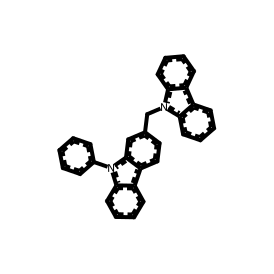 c1ccc(-n2c3ccccc3c3ccc(Cn4c5ccccc5c5ccccc54)cc32)cc1